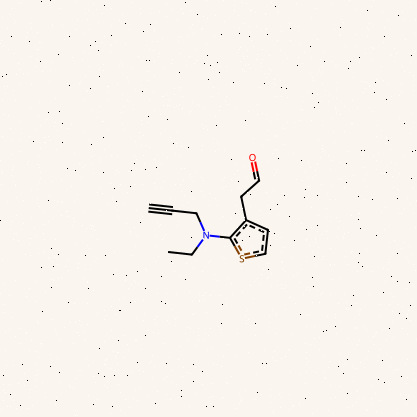 C#CCN(CC)c1sccc1CC=O